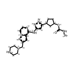 CC(C)NC(=O)OC1CCC(c2cc(Nc3nccn4nc(CN5CCNCC5)cc34)n[nH]2)C1